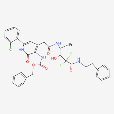 CC(C)C(NC(=O)Cc1cc(-c2ccccc2Cl)[nH]c(=O)c1NC(=O)OCc1ccccc1)C(O)C(F)(F)C(=O)NCCc1ccccc1